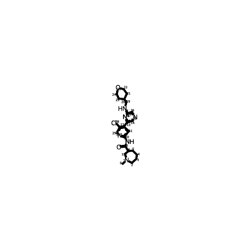 CN1CCCCC(C(=O)Nc2cc(-c3cncc(NCC4CCOCC4)n3)c(Cl)cn2)C1